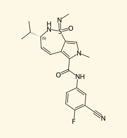 CN=S1(=O)N[C@@H](C(C)C)C=Cc2c1cn(C)c2C(=O)Nc1ccc(F)c(C#N)c1